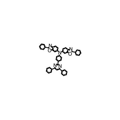 c1ccc(-c2cc(-c3ccccc3)nc(-c3ccc(N(c4ccc5nc(-c6ccccc6)oc5c4)c4ccc5nc(-c6ccccc6)oc5c4)cc3)n2)cc1